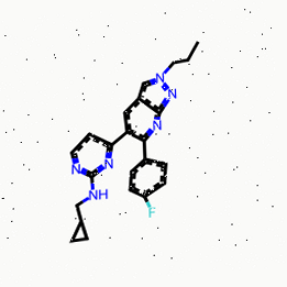 CCCn1cc2cc(-c3ccnc(NCC4CC4)n3)c(-c3ccc(F)cc3)nc2n1